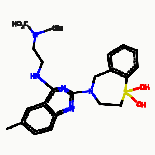 Cc1ccc2nc(N3CCS(O)(O)c4ccccc4C3)nc(NCCN(C(=O)O)C(C)(C)C)c2c1